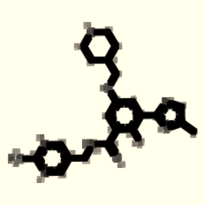 Cc1cnc(-c2cc(OCC3CCOCC3)cc(C(=O)NCc3cnc(C(F)(F)F)nc3)c2F)s1